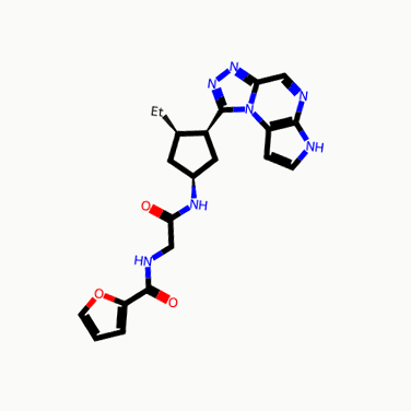 CC[C@@H]1C[C@H](NC(=O)CNC(=O)c2ccco2)C[C@@H]1c1nnc2cnc3[nH]ccc3n12